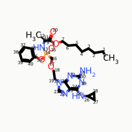 CCCCCCCCOC(=O)[C@H](C)NP(=O)(COCCn1cnc2c(NC3CC3)nc(N)nc21)Oc1ccccc1